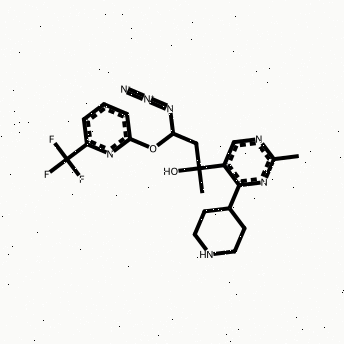 Cc1ncc(C(C)(O)CC(N=[N+]=[N-])Oc2cccc(C(F)(F)F)n2)c(C2CCNCC2)n1